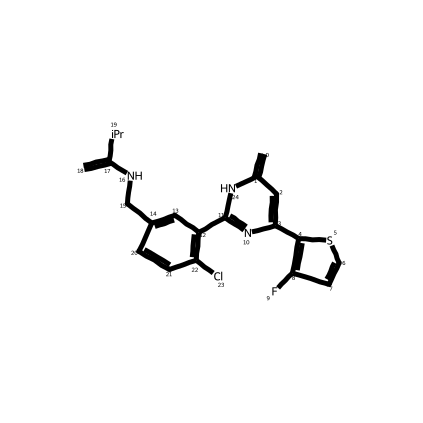 C=C1C=C(c2sccc2F)N=C(c2cc(CNC(=C)C(C)C)ccc2Cl)N1